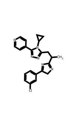 CC(Cc1nnc(-c2ccncc2)n1C1CC1)C1=NCC(c2cccc(Cl)c2)=N1